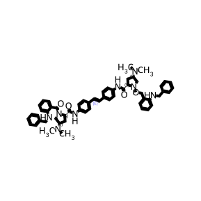 CN(C)[C@H]1C[C@@H](C(=O)Nc2ccc(/C=C/c3ccc(NC(=O)[C@@H]4C[C@H](N(C)C)CN4C(=O)c4ccccc4NCc4ccccc4)cc3)cc2)N(OCc2ccccc2NCc2ccccc2)C1